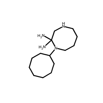 NC1(N)CNCCCCN1C1CCCCCCC1